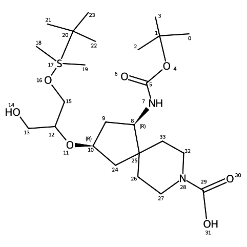 CC(C)(C)OC(=O)N[C@@H]1C[C@H](OC(CO)COS(C)(C)C(C)(C)C)CC12CCN(C(=O)O)CC2